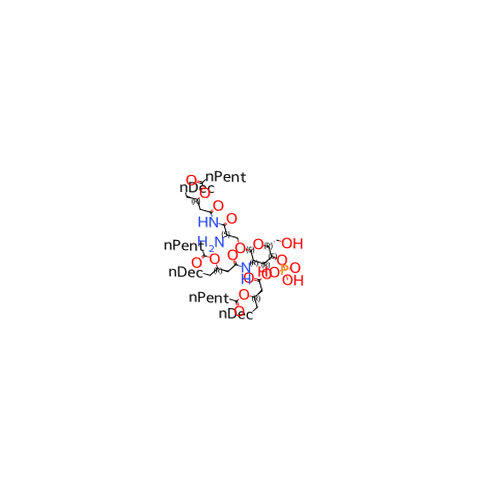 CCCCCCCCCCC[C@H](CC(=O)NC(=O)[C@@H](N)CO[C@H]1O[C@H](CO)[C@@H](OP(=O)(O)O)[C@H](OC(=O)C[C@@H](CCCCCCCCCCC)OC(=O)CCCCC)[C@H]1NC(=O)C[C@@H](CCCCCCCCCCC)OC(=O)CCCCC)OC(=O)CCCCC